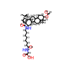 C=C(C)[C@@H]1CC[C@]2(C(=O)NCCCCCCCC(=O)NCC(=O)O)CC[C@]3(C)[C@H](CCC4[C@@]5(C)CC[C@H](OC(C)=O)C(C)(C)[C@@H]5CC[C@]43C)[C@@H]12